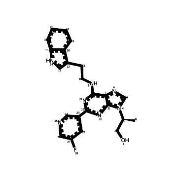 C[C@@H](CO)n1cnc2c(NCCc3c[nH]c4ccccc34)nc(-c3cncc(F)c3)nc21